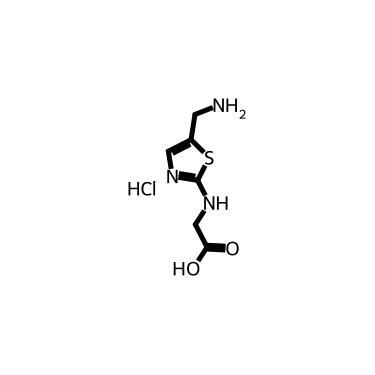 Cl.NCc1cnc(NCC(=O)O)s1